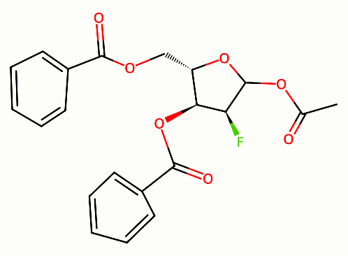 CC(=O)OC1O[C@@H](COC(=O)c2ccccc2)[C@H](OC(=O)c2ccccc2)[C@@H]1F